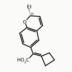 CC[C@@H]1C=Cc2cc(C(C(=O)O)=C3[CH]CC3)ccc2O1